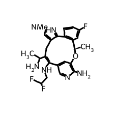 CN/C=C1/C/C(C(C)N)=C(/NCC(F)F)c2cnc(N)c(c2)O[C@H](C)c2cc(F)ccc2C1=N